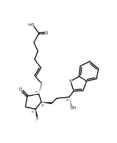 O=C(O)CCCC=CC[C@H]1C(=O)C[C@H](F)[C@@H]1CC[C@@H](O)c1cc2ccccc2s1